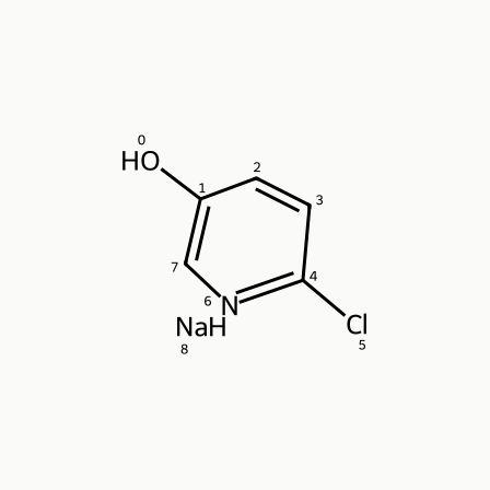 Oc1ccc(Cl)nc1.[NaH]